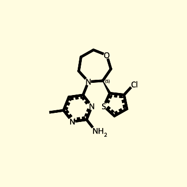 Cc1cc(N2CCCOC[C@H]2c2sccc2Cl)nc(N)n1